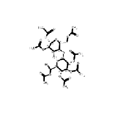 CC(=O)OC[C@H]1O[C@@H](OC(C)=O)[C@H](OC(C)=O)[C@@H](O)[C@@H]1O[C@@H]1O[C@H](C(Br)OC(C)=O)[C@@H](OC(C)=O)[C@H](OC(C)=O)[C@H]1OC(C)=O